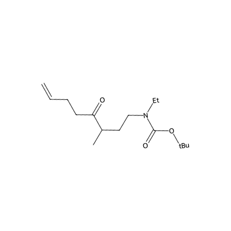 C=CCCC(=O)C(C)CCN(CC)C(=O)OC(C)(C)C